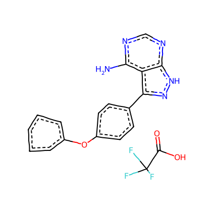 Nc1ncnc2[nH]nc(-c3ccc(Oc4ccccc4)cc3)c12.O=C(O)C(F)(F)F